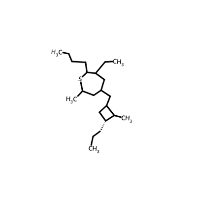 CCCCC1SC(C)CC(CC2C[C@@H](CCC)C2C)CC1CC